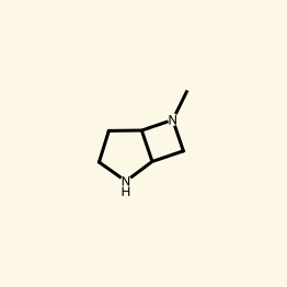 CN1CC2NCCC21